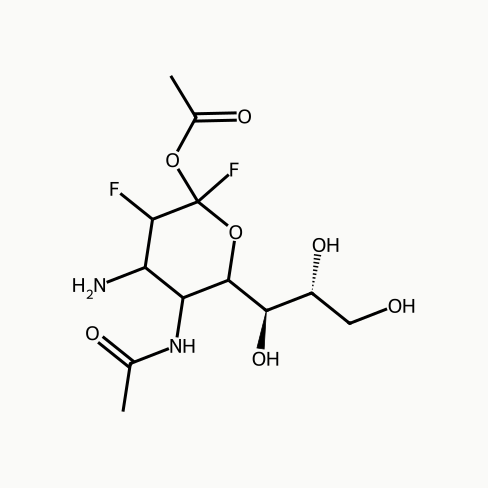 CC(=O)NC1C(N)C(F)C(F)(OC(C)=O)OC1[C@H](O)[C@H](O)CO